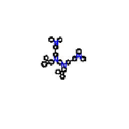 c1ccc(N(c2ccccc2)c2ccc(-c3ccc(N(c4ccc(N(c5ccc(-c6ccc(N(c7ccccc7)c7ccccc7)cc6)cc5)c5ccc6c(c5)C5(CCCC5)c5ccccc5-6)cc4)c4ccc5c(c4)C4(CCCC4)c4ccccc4-5)cc3)cc2)cc1